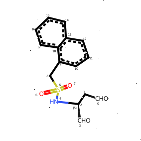 O=[C]C[C@@H]([C]=O)NS(=O)(=O)Cc1cccc2ccccc12